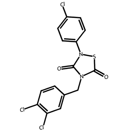 O=c1sn(-c2ccc(Cl)cc2)c(=O)n1Cc1ccc(Cl)c(Cl)c1